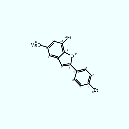 CCc1ccc(-c2cc3cc(OC)cc(CC)c3o2)cc1